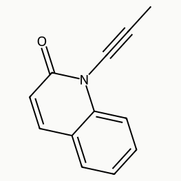 CC#Cn1c(=O)ccc2ccccc21